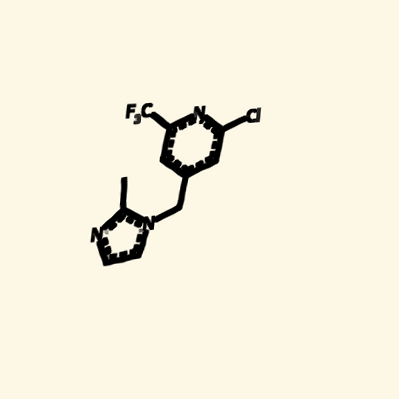 Cc1nccn1Cc1cc(Cl)nc(C(F)(F)F)c1